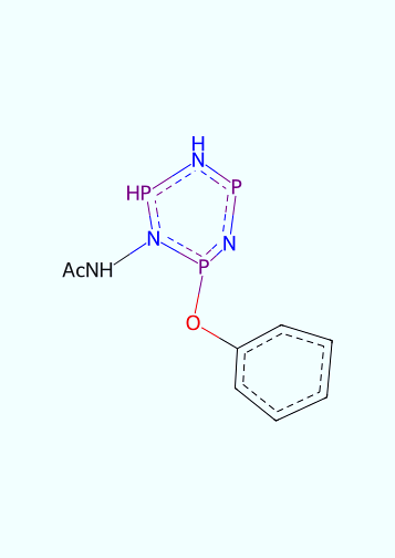 CC(=O)Nn1[pH][nH]pnp1Oc1ccccc1